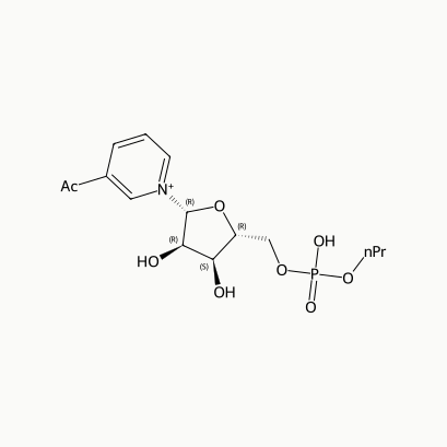 CCCOP(=O)(O)OC[C@H]1O[C@@H]([n+]2cccc(C(C)=O)c2)[C@H](O)[C@@H]1O